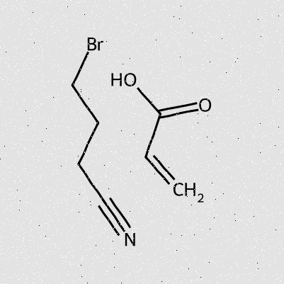 C=CC(=O)O.N#CCCCBr